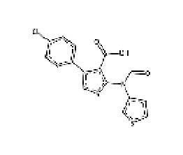 O=CN(c1ccsc1)c1scc(-c2ccc(Cl)cc2)c1C(=O)O